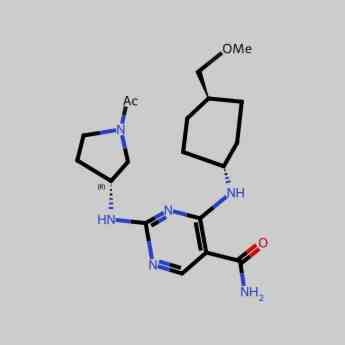 COC[C@H]1CC[C@H](Nc2nc(N[C@@H]3CCN(C(C)=O)C3)ncc2C(N)=O)CC1